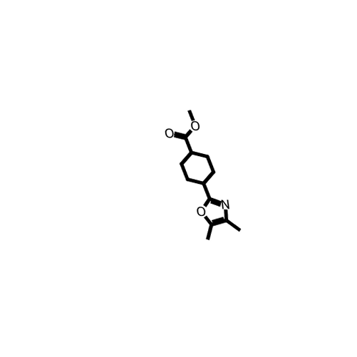 COC(=O)C1CCC(c2nc(C)c(C)o2)CC1